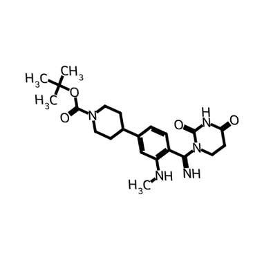 CNc1cc(C2CCN(C(=O)OC(C)(C)C)CC2)ccc1C(=N)N1CCC(=O)NC1=O